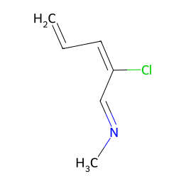 C=C/C=C(/Cl)C=NC